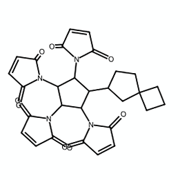 O=C1C=CC(=O)N1C1C(C2CCC3(CCC3)C2)C(N2C(=O)C=CC2=O)C(N2C(=O)C=CC2=O)C1N1C(=O)C=CC1=O